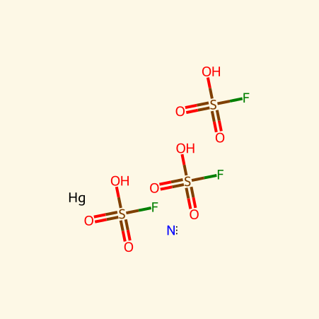 O=S(=O)(O)F.O=S(=O)(O)F.O=S(=O)(O)F.[Hg].[N]